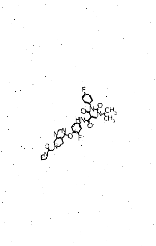 CC(C)n1cc(C(=O)Nc2ccc(Oc3ncnc4c3CCN(CC(=O)N3CCC3)C4)c(F)c2)c(=O)n(-c2ccc(F)cc2)c1=O